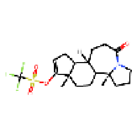 C[C@]12CCC3[C@@H](CCC(=O)N4CCC[C@]34C)C1CC=C2OS(=O)(=O)C(F)(F)F